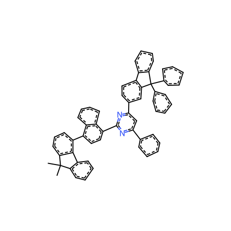 CC1(C)c2ccccc2-c2c(-c3ccc(-c4nc(-c5ccccc5)cc(-c5ccc6c(c5)C(c5ccccc5)(c5ccccc5)c5ccccc5-6)n4)c4ccccc34)cccc21